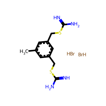 Br.Br.Cc1cc(CSC(=N)N)cc(CSC(=N)N)c1